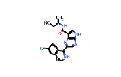 CNc1cc(Cl)ccc1C(=N)c1cnc2[nH]cc(C(=O)NC(C)CC#N)c2n1